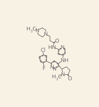 CN1CCN(CCC(=O)Nc2cc(Nc3cc(-c4cc(Cl)ccc4F)nnc3C3CCC(=O)N3C)ccn2)CC1